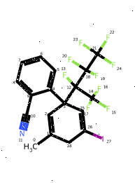 CC1=CC(c2ccccc2C#N)(C(F)(C(F)(F)F)C(F)(F)C(F)(F)F)C=C(I)[CH]1